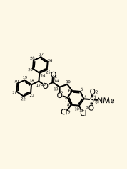 CNS(=O)(=O)c1cc2c(c(Cl)c1Cl)OC(C(=O)OC(c1ccccc1)c1ccccc1)C2